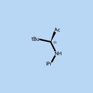 CC(=O)[C@@H](NC(C)C)C(C)(C)C